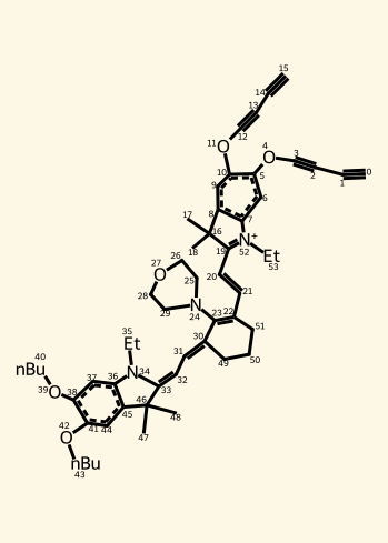 C#CC#COc1cc2c(cc1OC#CC#C)C(C)(C)C(/C=C/C1=C(N3CCOCC3)C(=C/C=C3\N(CC)c4cc(OCCCC)c(OCCCC)cc4C3(C)C)/CCC1)=[N+]2CC